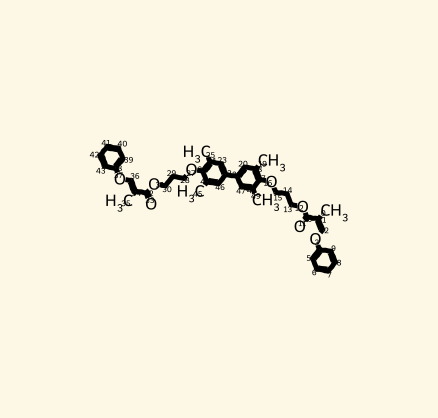 CC(=COc1ccccc1)C(=O)OCCCOc1c(C)cc(-c2cc(C)c(OCCCOC(=O)C(C)=COc3ccccc3)c(C)c2)cc1C